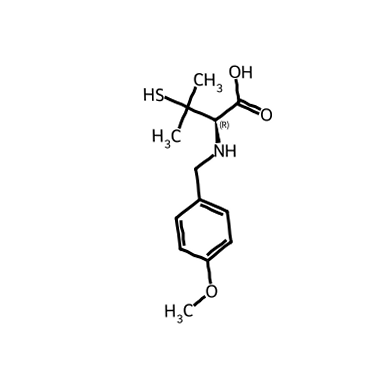 COc1ccc(CN[C@H](C(=O)O)C(C)(C)S)cc1